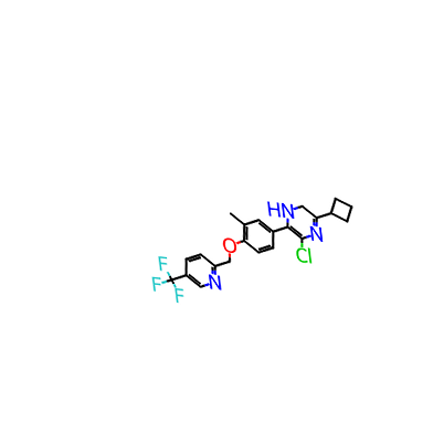 Cc1cc(C2=C(Cl)N=C(C3CCC3)CN2)ccc1OCc1ccc(C(F)(F)F)cn1